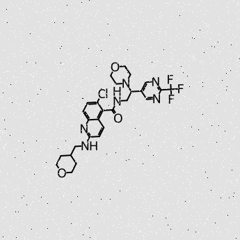 O=C(NCC(c1cnc(C(F)(F)F)nc1)N1CCOCC1)c1c(Cl)ccc2nc(NCC3CCOCC3)ccc12